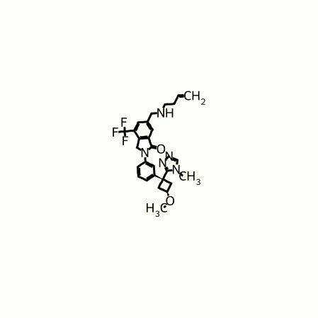 C=CCCNCc1cc2c(c(C(F)(F)F)c1)CN(c1cccc([C@]3(c4nncn4C)C[C@H](OC)C3)c1)C2=O